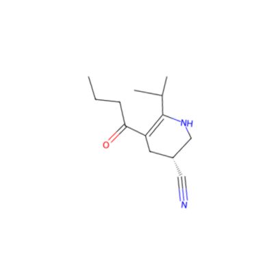 CCCC(=O)C1=C(C(C)C)NC[C@H](C#N)C1